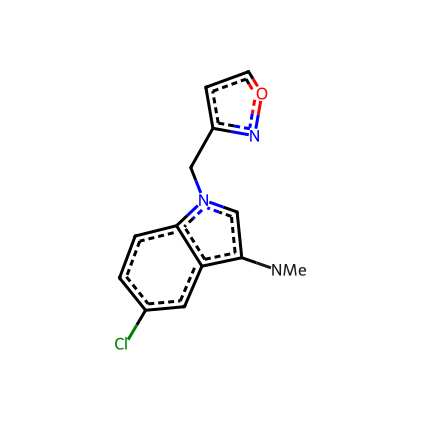 CNc1cn(Cc2ccon2)c2ccc(Cl)cc12